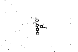 CC(C)(O)c1ccc(-c2sc(C(=O)N3CCC[C@@H](N)C3)cc2-c2ccc(C#N)c(F)c2)cc1